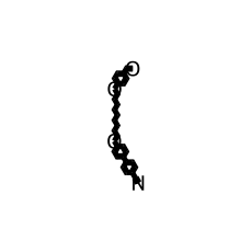 N#Cc1ccc(-c2ccc(OCCCCCCCCCOc3ccc(C=O)cc3)cc2)cc1